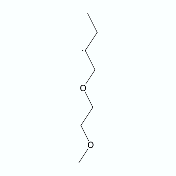 CC[CH]COCCOC